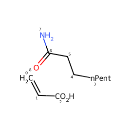 C=CC(=O)O.CCCCCCCC(N)=O